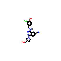 COc1ccc(CNc2nnc(N3CCC(CO)C3)c3ccc(C#N)cc23)cc1Cl